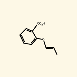 CC=COc1ccccc1C(=O)O